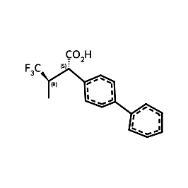 C[C@H]([C@H](C(=O)O)c1ccc(-c2ccccc2)cc1)C(F)(F)F